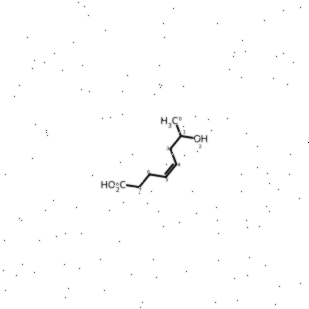 CC(O)C/C=C\CCC(=O)O